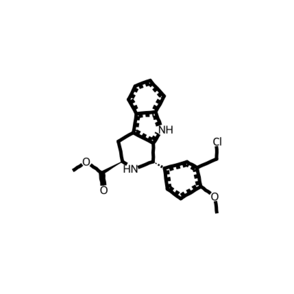 COC(=O)[C@H]1Cc2c([nH]c3ccccc23)[C@H](c2ccc(OC)c(CCl)c2)N1